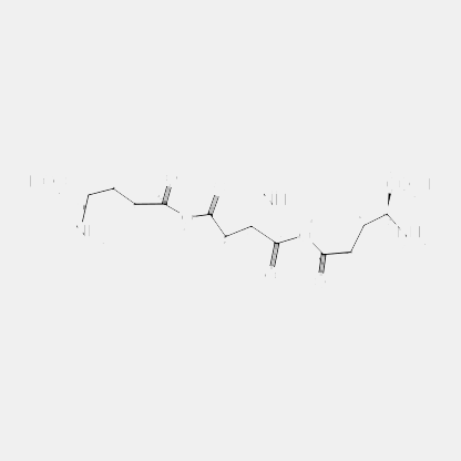 N[C@@H](CCC(=O)OC(=O)C[C@H](N)C(=O)OC(=O)CC[C@H](N)C(=O)O)C(=O)O